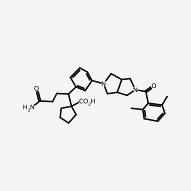 Cc1cccc(C)c1C(=O)N1CC2CN(c3cccc(C(CCC(N)=O)C4(C(=O)O)CCCC4)c3)CC2C1